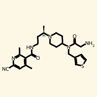 Cc1cc(C#N)nc(C)c1C(=O)NCC[C@@H](C)N1CCC(N(Cc2ccsc2)C(=O)CN)CC1